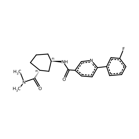 CN(C)C(=O)[C@@H]1CCC[C@@H](NC(=O)c2ccc(-c3cccc(F)c3)nc2)C1